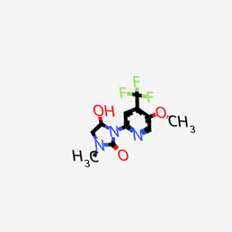 COc1cnc(N2C(=O)N(C)CC2O)cc1C(F)(F)F